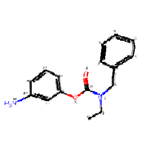 CCN(Cc1ccccc1)C(=O)Oc1cccc(N)c1